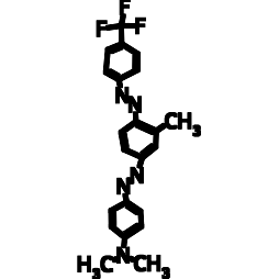 Cc1cc(/N=N/c2ccc(N(C)C)cc2)ccc1/N=N/c1ccc(C(F)(F)F)cc1